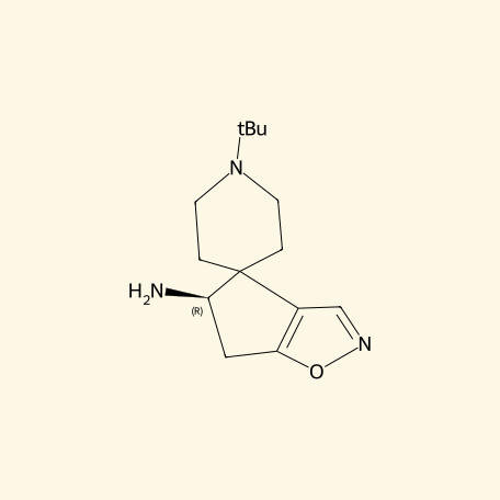 CC(C)(C)N1CCC2(CC1)c1cnoc1C[C@H]2N